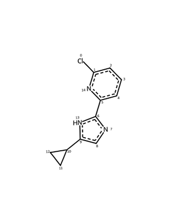 Clc1cccc(-c2ncc(C3CC3)[nH]2)n1